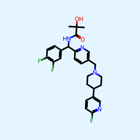 CC(C)(O)C(=O)NC(c1ccc(F)c(F)c1)c1ccc(CN2CCC(c3ccc(F)nc3)CC2)cn1